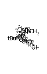 CN1CCN(c2ccccc2C2SC(CC(=O)N3CCC(CO)CC3)C(=O)N2CCC(C)(C)C)CC1